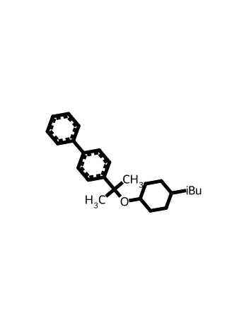 CCC(C)C1CCC(OC(C)(C)c2ccc(-c3ccccc3)cc2)CC1